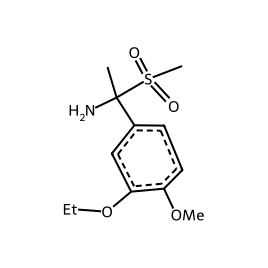 CCOc1cc(C(C)(N)S(C)(=O)=O)ccc1OC